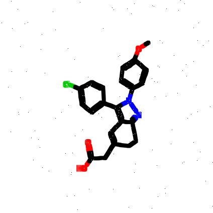 COc1ccc(-n2nc3c(c2-c2ccc(Cl)cc2)C=C(CC(=O)O)CC3)cc1